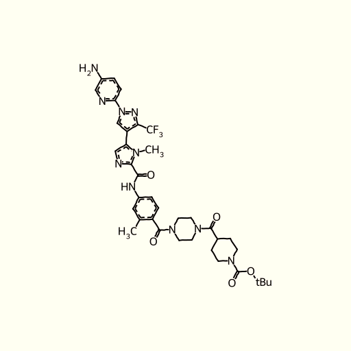 Cc1cc(NC(=O)c2ncc(-c3cn(-c4ccc(N)cn4)nc3C(F)(F)F)n2C)ccc1C(=O)N1CCN(C(=O)C2CCN(C(=O)OC(C)(C)C)CC2)CC1